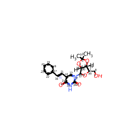 CC1(C)O[C@@H]2[C@H](O1)[C@@H](CO)O[C@H]2n1cc(/C=C/c2ccccc2)c(=O)[nH]c1=O